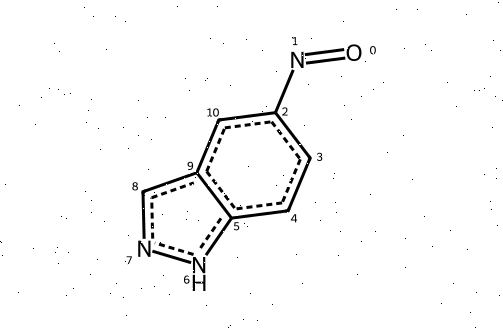 O=Nc1ccc2[nH]ncc2c1